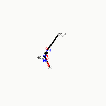 CC(=O)COCCOCCNC(=O)CC[C@H](NC(=O)[C@H]1CC[C@H](CNC(=O)CCCCCCCCCCCCCCCCCCC(=O)O)CC1)C(=O)O